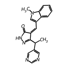 CC(C1=NNC(=O)C1=Cc1cn(C)c2ccccc12)c1cncnc1